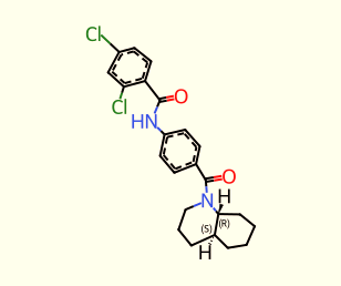 O=C(Nc1ccc(C(=O)N2CCC[C@@H]3CCCC[C@H]32)cc1)c1ccc(Cl)cc1Cl